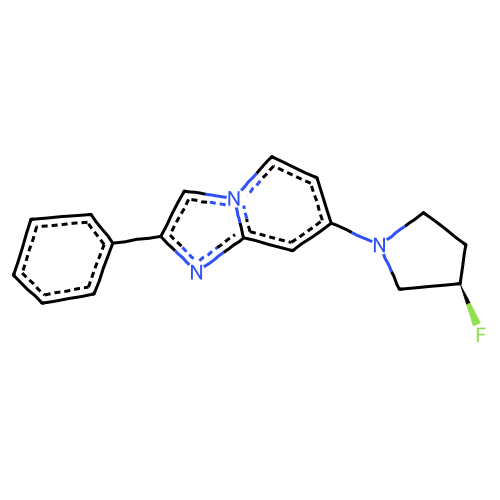 F[C@@H]1CCN(c2ccn3cc(-c4ccccc4)nc3c2)C1